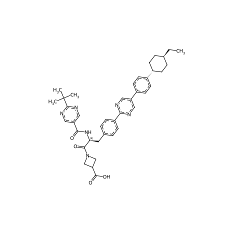 CC[C@H]1CC[C@H](c2ccc(-c3cnc(-c4ccc(C[C@H](NC(=O)c5cnc(C(C)(C)C)nc5)C(=O)N5CC(C(=O)O)C5)cc4)nc3)cc2)CC1